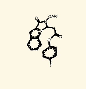 CON1C(=O)c2cc3ccccc3n2C1CC(=O)Oc1ccc(F)cc1